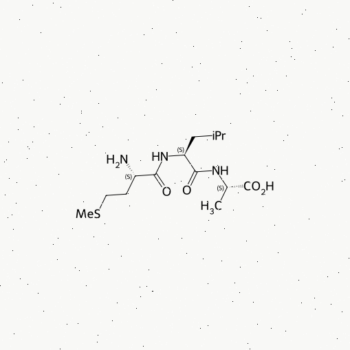 CSCC[C@H](N)C(=O)N[C@@H](CC(C)C)C(=O)N[C@@H](C)C(=O)O